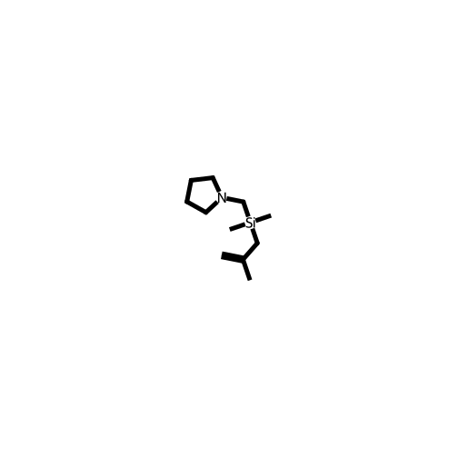 C=C(C)C[Si](C)(C)CN1CCCC1